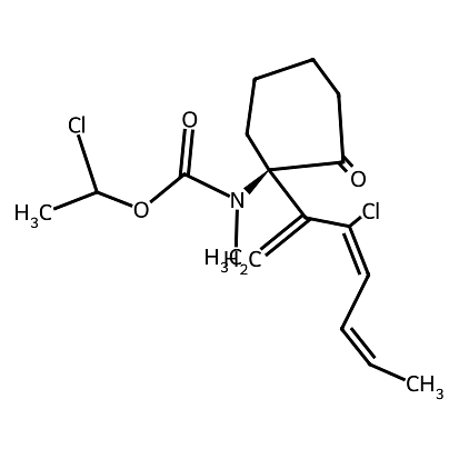 C=C(/C(Cl)=C\C=C/C)[C@]1(N(C)C(=O)OC(C)Cl)CCCCC1=O